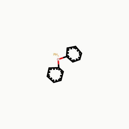 P.c1ccc(Oc2ccccc2)cc1